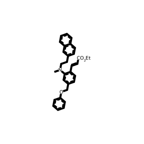 CCOC(=O)/C=C/c1ccc(COc2ccccc2)cc1N(C)CCc1ccc2ccccc2c1